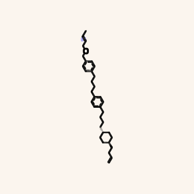 C=CCC[C@H]1CC[C@H](CCCCc2ccc(CCCCc3ccc(COC/C=C/C)cc3)cc2)CC1